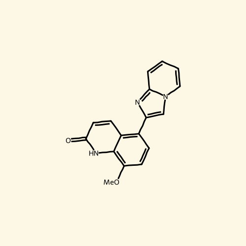 COc1ccc(-c2cn3ccccc3n2)c2ccc(=O)[nH]c12